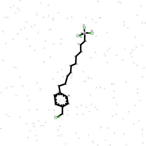 ClCc1ccc(CCCCCCCCCC[Si](Cl)(Cl)Cl)cc1